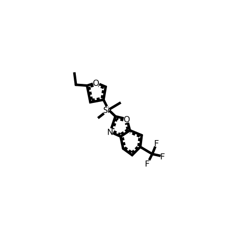 CCc1cc([Si](C)(C)c2nc3ccc(C(F)(F)F)cc3o2)co1